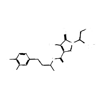 CC(CCc1ccc(Cl)c(Cl)c1)NC(=O)C1=C(O)C(=O)N(C(CC(F)(F)F)C(=O)O)C1